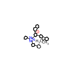 CC1(C)c2ccccc2-c2ccc(-c3cc(-c4nc(-c5ccccc5)nc(-c5cccc(C6=CCCC=C6)c5)n4)cc4c3oc3c5ccccc5ccc43)cc21